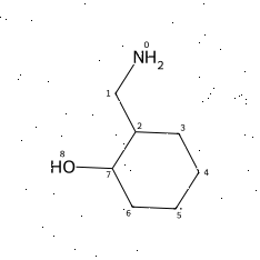 NCC1CC[CH]CC1O